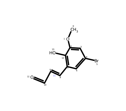 COc1cc(Br)cc(/C=C/C=O)c1O